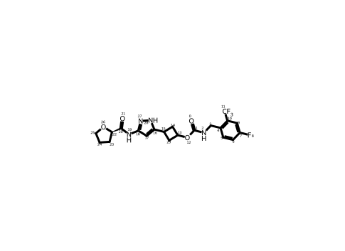 O=C(NCc1ccc(F)cc1C(F)(F)F)OC1CC(c2cc(NC(=O)[C@H]3CCCO3)n[nH]2)C1